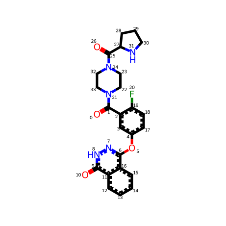 O=C(c1cc(Oc2n[nH]c(=O)c3ccccc23)ccc1F)N1CCN(C(=O)C2CCCN2)CC1